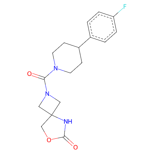 O=C1NC2(CO1)CN(C(=O)N1CCC(c3ccc(F)cc3)CC1)C2